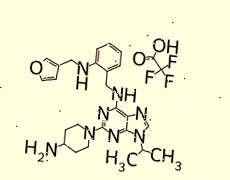 CC(C)n1cnc2c(NCc3ccccc3NCc3ccoc3)nc(N3CCC(N)CC3)nc21.O=C(O)C(F)(F)F